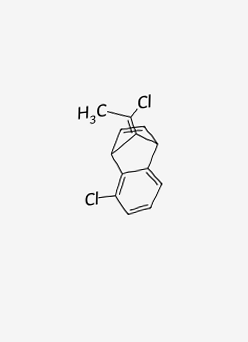 C/C(Cl)=C1/C2C=CC1c1c(Cl)cccc12